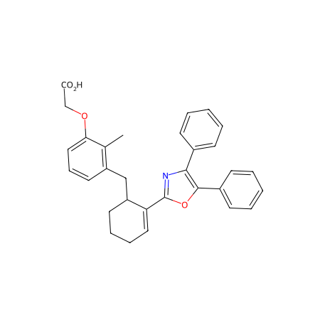 Cc1c(CC2CCCC=C2c2nc(-c3ccccc3)c(-c3ccccc3)o2)cccc1OCC(=O)O